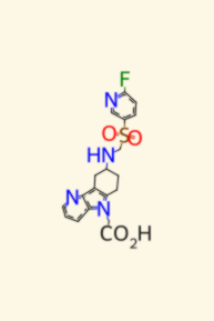 O=C(O)Cn1c2c(c3ncccc31)CC(NCS(=O)(=O)c1ccc(F)nc1)CC2